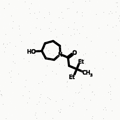 CCC(C)(CC)CC(=O)N1CCCC(O)CC1